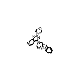 c1ccc(C[C@H]2CN(c3nc(N4CCOCC4)nc4cnccc34)CCN2)cc1